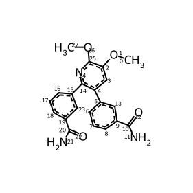 COc1cc(-c2cccc(C(N)=O)c2)c(-c2cccc(C(N)=O)c2)nc1OC